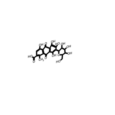 Cc1c(C(=O)O)cc(O)c2c1C(=O)c1c(O)c(C3OC(CO)C(O)C(O)C3O)c(O)c(O)c1C2=O